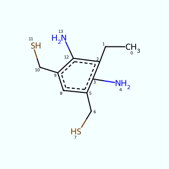 CCc1c(N)c(CS)cc(CS)c1N